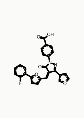 O=C(O)c1ccc(N2N=C(c3ccoc3)/C(=C/c3ccc(-c4ccccc4F)o3)C2=O)cc1